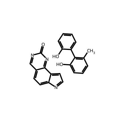 Cc1cccc(O)c1-c1ccccc1O.O=C1N=Cc2ccc3c(c2=N1)=CC=N3